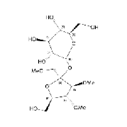 COC[C@@]1(O[C@H]2O[C@H](CO)[C@@H](O)[C@H](O)[C@H]2O)O[C@H](CO)[C@@H](OC)[C@@H]1OC